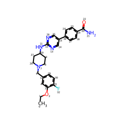 CCOc1cc(CN2CCC(Nc3ncc(-c4ccc(C(N)=O)cc4)cn3)CC2)ccc1F